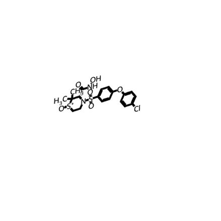 CC1(C)[C@H](C(=O)NO)N(S(=O)(=O)c2ccc(Oc3ccc(Cl)cc3)cc2)CC[S+]1[O-]